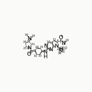 C[C@@H]1C2CC1(n1c(C(=O)N(C)C)cc3cnc(Nc4ccc(C(=O)N5CC[C@H](N(C)C)C5)cc4)nc31)C2